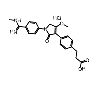 CNC(=N)c1ccc(N2CC(OC)=C(c3ccc(CCC(=O)O)cc3)C2=O)cc1.Cl